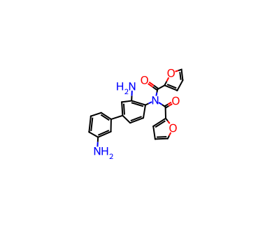 Nc1cccc(-c2ccc(N(C(=O)c3ccco3)C(=O)c3ccco3)c(N)c2)c1